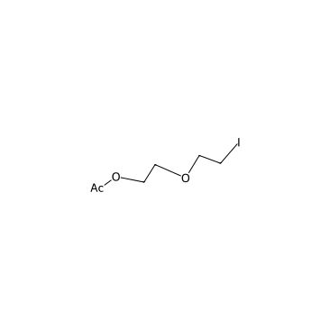 CC(=O)OCCOCCI